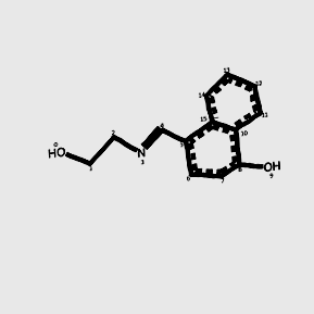 OCC/N=C/c1ccc(O)c2ccccc12